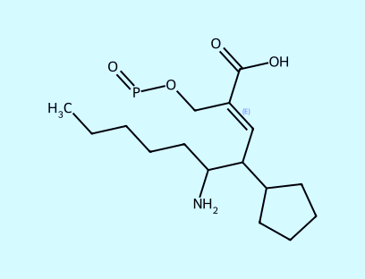 CCCCCC(N)C(/C=C(\COP=O)C(=O)O)C1CCCC1